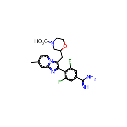 Cc1ccn2c(CC3CN(C(=O)O)CCO3)c(-c3c(F)cc(C(=N)N)cc3F)nc2c1